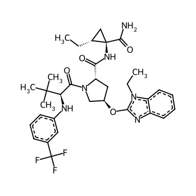 CC[C@@H]1C[C@]1(NC(=O)[C@@H]1C[C@@H](Oc2nc3ccccc3n2CC)CN1C(=O)[C@@H](Nc1cccc(C(F)(F)F)c1)C(C)(C)C)C(N)=O